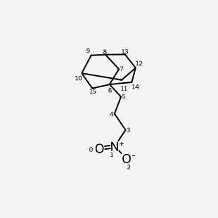 O=[N+]([O-])CCCC12CC3CC(CC(C3)C1)C2